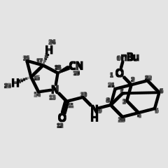 CCCCOC12CC3CC(CC(NCC(=O)N4C[C@H]5C[C@H]5[C@H]4C#N)(C3)C1)C2